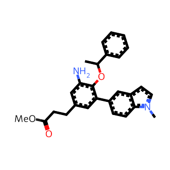 COC(=O)CCc1cc(N)c(OC(C)c2ccccc2)c(-c2ccc3c(ccn3C)c2)c1